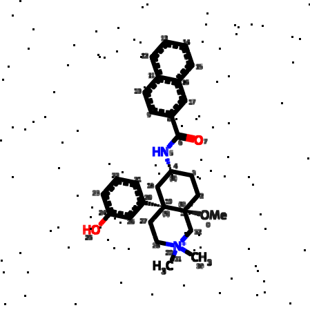 CO[C@]12CC[C@@H](NC(=O)c3ccc4ccccc4c3)C[C@]1(c1cccc(O)c1)CC[N+](C)(C)C2